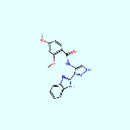 COc1ccc(C(=O)Nc2c[nH]nc2-c2nc3ccccc3[nH]2)c(OC)c1